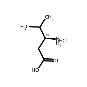 CC(C)[C@@H](N)CC(=O)O.Cl